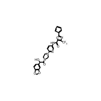 O=C(Nc1ccc(N2CCN(C(=O)C(O)c3ccc4c(c3)OCO4)CC2)nc1)c1oc(-c2ccccc2)nc1C(F)(F)F